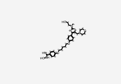 CN(CCO)c1nc(-c2ccc(OCCCCCOc3ccc(C(=N)NO)cc3)cc2)c(CN2CCOCC2)s1